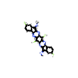 C/N=c1\c2cc(F)ccc2c2nc3c(F)c4nc5/c(=N/C#N)c6cc(F)ccc6c5nc4c(F)c3nc12